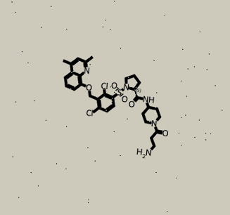 Cc1cc(C)c2cccc(OCc3c(Cl)ccc(S(=O)(=O)N4CCC[C@H]4C(=O)NC4CCN(C(=O)CCN)CC4)c3Cl)c2n1